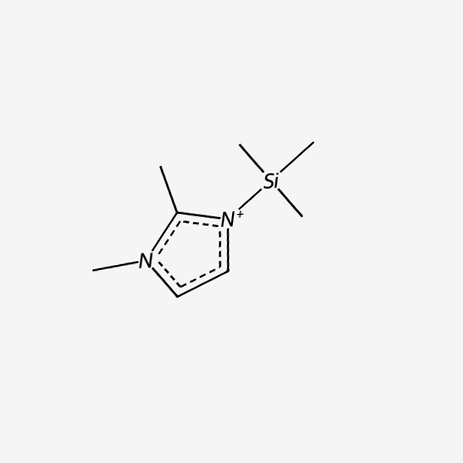 Cc1n(C)cc[n+]1[Si](C)(C)C